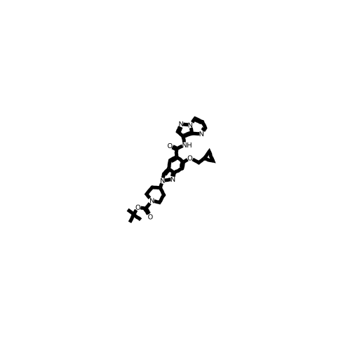 CC(C)(C)OC(=O)N1CCC(n2cc3cc(C(=O)Nc4cnn5cccnc45)c(OCC4CC4)cc3n2)CC1